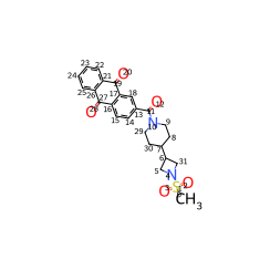 CS(=O)(=O)N1CC(C2CCN(C(=O)c3ccc4c(c3)C(=O)c3ccccc3C4=O)CC2)C1